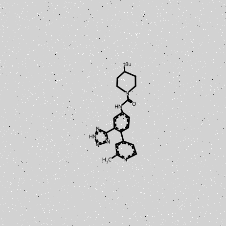 Cc1cc(-c2ccc(NC(=O)N3CCC(C(C)(C)C)CC3)cc2-c2nn[nH]n2)ccn1